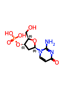 Nc1nc(=O)ccn1[C@H]1C[C@H](OP(=O)(O)O)[C@@H](CO)O1